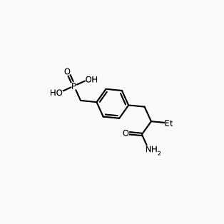 CCC(Cc1ccc(CP(=O)(O)O)cc1)C(N)=O